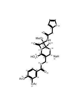 CO[C@]1(NC(=O)Cc2cccs2)C(=O)N2C(C(=O)O)=C(COC(=O)c3ccc(OC(C)=O)c(OC(C)=O)c3)CS[C@H]21.[NaH]